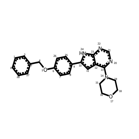 c1ccc(COc2ccc(-c3cc4c(N5CCOCC5)ncnc4[nH]3)cc2)cc1